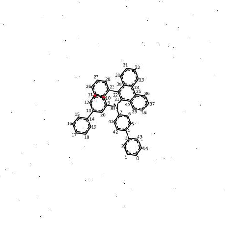 c1ccc(-c2ccc(N(c3cccc(-c4ccccc4)c3)c3c(-c4ccccc4)c4ccccc4c4ccccc34)cc2)cc1